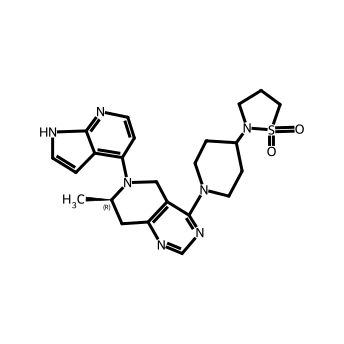 C[C@@H]1Cc2ncnc(N3CCC(N4CCCS4(=O)=O)CC3)c2CN1c1ccnc2[nH]ccc12